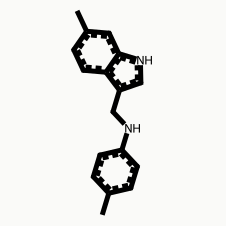 Cc1ccc(NCc2c[nH]c3cc(C)ccc23)cc1